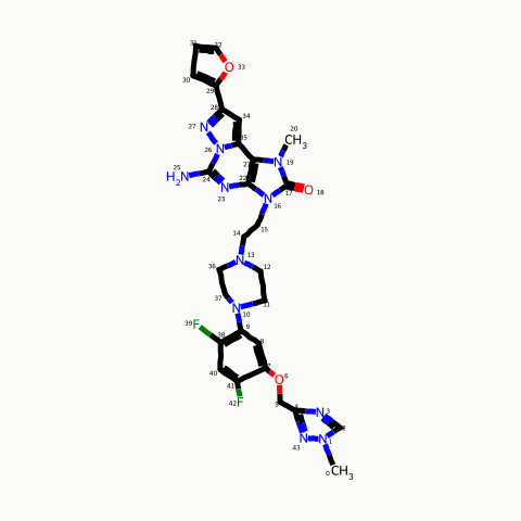 Cn1cnc(COc2cc(N3CCN(CCn4c(=O)n(C)c5c4nc(N)n4nc(-c6ccco6)cc54)CC3)c(F)cc2F)n1